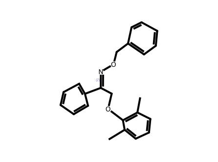 Cc1cccc(C)c1OC/C(=N\OCc1ccccc1)c1ccccc1